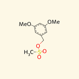 COc1cc(COS(C)(=O)=O)cc(OC)c1